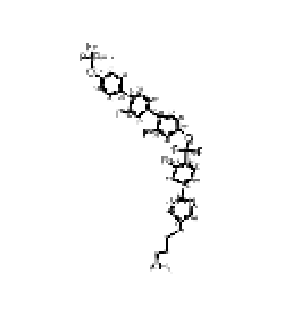 CCCCCc1cnc(-c2ccc(C(F)(F)Oc3ccc(-c4ccc(-c5ccc(OC(F)(F)F)cc5)c(F)c4)c(F)c3)c(F)c2)nc1